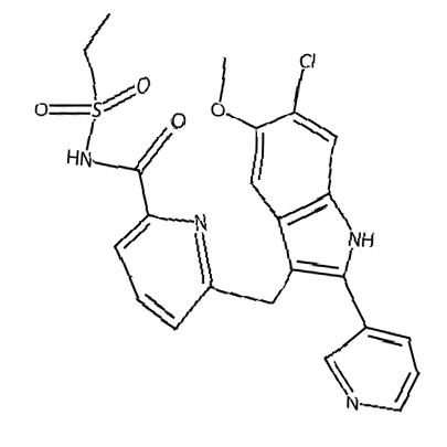 CCS(=O)(=O)NC(=O)c1cccc(Cc2c(-c3cccnc3)[nH]c3cc(Cl)c(OC)cc23)n1